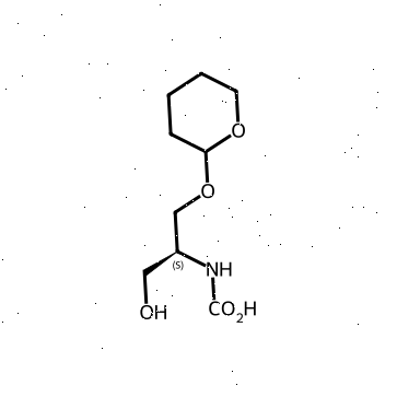 O=C(O)N[C@@H](CO)COC1CCCCO1